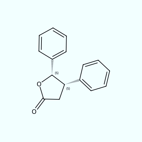 O=C1C[C@@H](c2ccccc2)[C@@H](c2ccccc2)O1